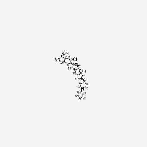 COc1cc(Cl)c(C(=O)NC(Cc2ccc(OC3CCN(c4ccccc4)CC3)cc2)C(=O)O)cc1OC